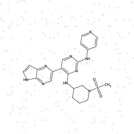 CS(=O)(=O)N1CCCC(Nc2nc(Nc3ccncc3)ncc2-c2cnc3[nH]ccc3n2)C1